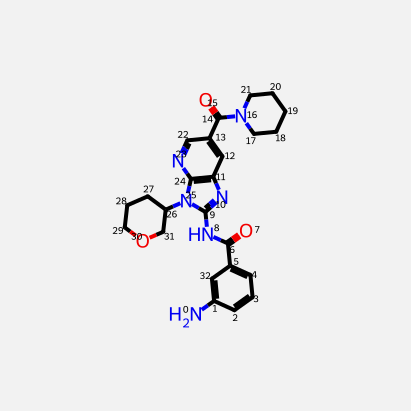 Nc1cccc(C(=O)Nc2nc3cc(C(=O)N4CCCCC4)cnc3n2C2CCCOC2)c1